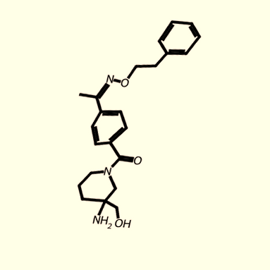 CC(=NOCCc1ccccc1)c1ccc(C(=O)N2CCCC(N)(CO)C2)cc1